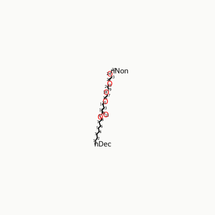 CCCCCCCCCCCCCCCCCCOC(=O)CCCOCCOCCOCCOCCCCCCCCC